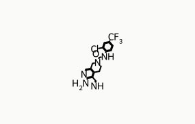 N=Cc1c(N)ncc2c1CCN(C(=O)Nc1ccc(C(F)(F)F)cc1Cl)C2